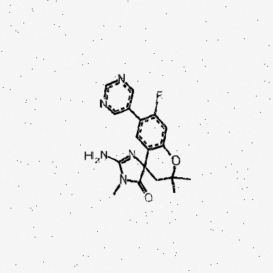 CN1C(=O)C2(CC(C)(C)Oc3cc(F)c(-c4cncnc4)cc32)N=C1N